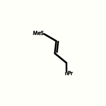 [CH2]CCC/C=C/SC